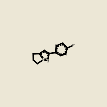 Fc1ccc(-c2cc3n(n2)CCC3)cc1